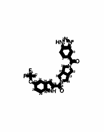 O=C(c1ccc2[nH]nnc2c1)N1CC2CN(C(=O)c3cc4cc(OC(F)(F)F)ccc4[nH]3)CC2C1